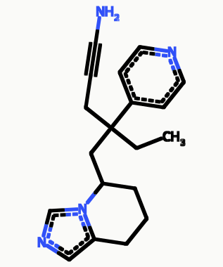 CCC(CC#CN)(CC1CCCc2cncn21)c1ccncc1